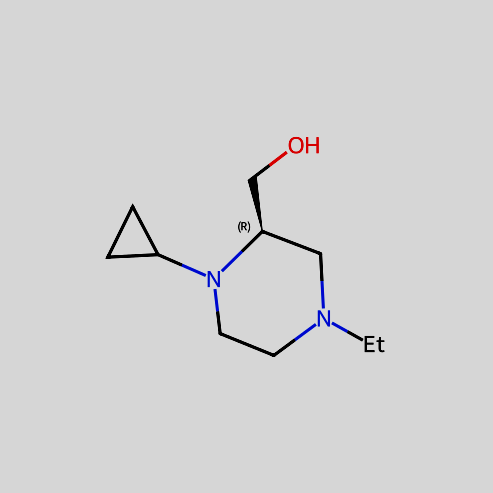 CCN1CCN(C2CC2)[C@@H](CO)C1